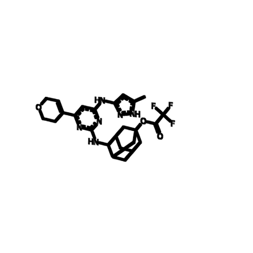 Cc1cc(Nc2cc(C3=CCOCC3)nc(NC3C4CC5CC3CC(OC(=O)C(F)(F)F)(C5)C4)n2)n[nH]1